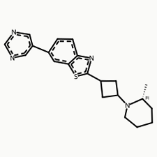 C[C@@H]1CCCCN1C1CC(c2nc3ccc(-c4cncnc4)cc3s2)C1